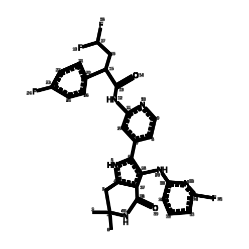 CC1(C)Cc2[nH]c(-c3ccnc(NC(=O)C(CC(F)F)c4ccc(F)cc4)c3)c(Nc3cccc(F)n3)c2C(=O)N1